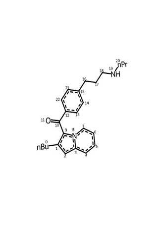 CCCCc1cc2ccccn2c1C(=O)c1ccc(CCCNCCC)cc1